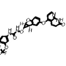 O=C1CCc2c(Oc3ccc4c(c3)[C@H]3[C@H](ONC(=O)Nc5cccc(OC(F)(F)F)c5)[C@H]3O4)ccnc2N1